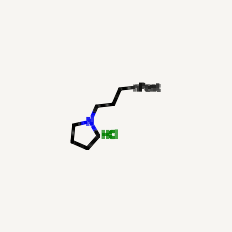 CCCCCCCCN1CCCC1.Cl